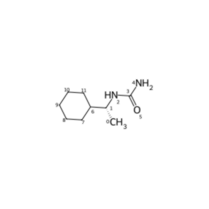 C[C@@H](NC(N)=O)C1CCCCC1